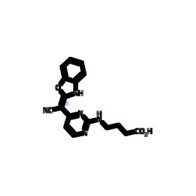 N#C/C(=C1/Nc2ccccc2O1)c1ccnc(NCCCC(=O)O)n1